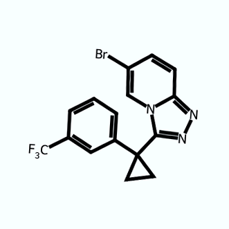 FC(F)(F)c1cccc(C2(c3nnc4ccc(Br)cn34)CC2)c1